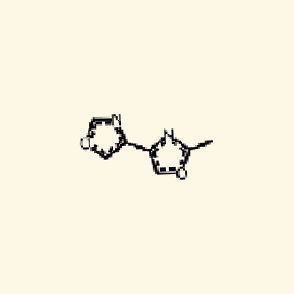 Cc1nc(-c2cocn2)co1